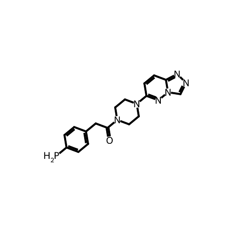 O=C(Cc1ccc(P)cc1)N1CCN(c2ccc3nncn3n2)CC1